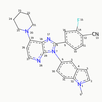 Cn1ccc2cc(-n3c(-c4ccc(C#N)c(F)c4)nc4c(N5CCCCC5)ccnc43)ccc21